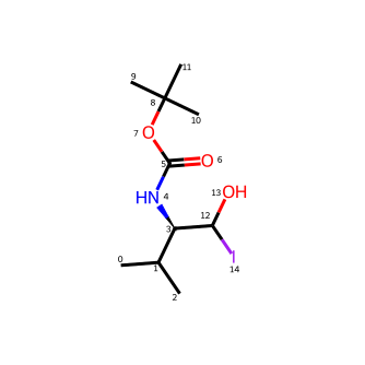 CC(C)[C@@H](NC(=O)OC(C)(C)C)C(O)I